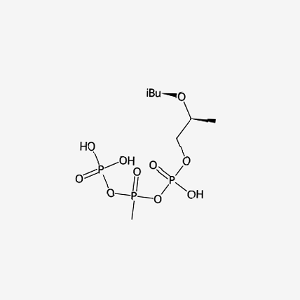 CC[C@H](C)O[C@@H](C)COP(=O)(O)OP(C)(=O)OP(=O)(O)O